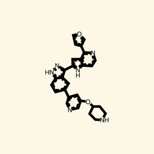 c1cc2[nH]c(-c3n[nH]c4ccc(-c5cncc(OC6CCNCC6)c5)cc34)cc2c(-c2ccoc2)n1